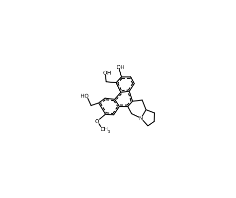 COc1cc2c3c(c4ccc(O)c(CO)c4c2cc1CO)CC1CCCN1C3